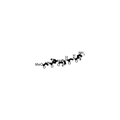 COC(=O)CCNC(=O)c1cc(NC(=O)c2nc(NC(=O)CCNC(=O)c3cc(N)cn3C)cn2C)cn1C